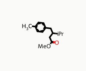 COC(=O)CC(Cc1ccc(C)cc1)C(C)C